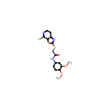 COc1ccc(NC(=O)CSc2nc3ccnc(Cl)c3s2)cc1OC